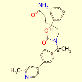 Cc1cc(-c2ccc([C@H](C)N3CC[C@](CCC(N)=O)(c4ccccc4)OC3=O)cc2)ccn1